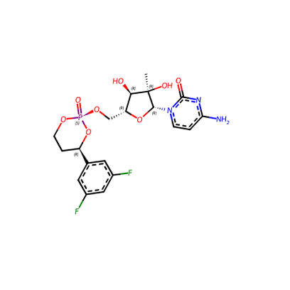 C[C@@]1(O)[C@H](O)[C@@H](CO[P@]2(=O)OCC[C@H](c3cc(F)cc(F)c3)O2)O[C@H]1n1ccc(N)nc1=O